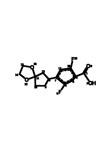 O=C(O)c1cc(F)c(C2CCC3(C2)OCCO3)cc1F